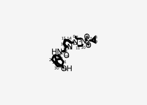 CC1CN(S(=O)(=O)C2CC2)CCN1c1cccc(C(=O)NC2C3CC4CC2CC(O)(C4)C3)n1